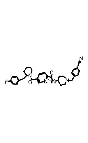 N#Cc1ccc(CN2CCC(NC(=O)c3ccc(C(=O)N4CCCCC4Cc4ccc(F)cc4)cn3)CC2)cc1